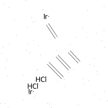 C=C.C=C.C=C.C=C.Cl.Cl.[Ir].[Ir]